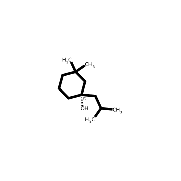 CC(C)C[C@@]1(O)CCCC(C)(C)C1